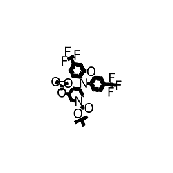 CC(C)(C)OC(=O)N1CC2OS(=O)OC2C(N2c3ccc(C(F)(F)F)cc3Oc3cc(C(F)(F)F)ccc32)C1